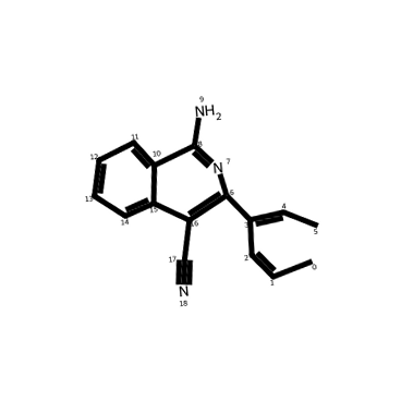 C/C=C\C(=C/C)c1nc(N)c2ccccc2c1C#N